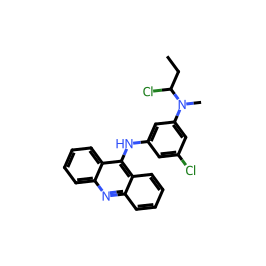 CCC(Cl)N(C)c1cc(Cl)cc(Nc2c3ccccc3nc3ccccc23)c1